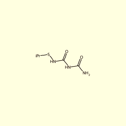 CC(C)SNC(=O)NC(N)=O